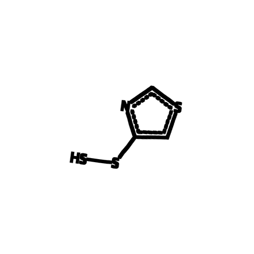 SSc1cscn1